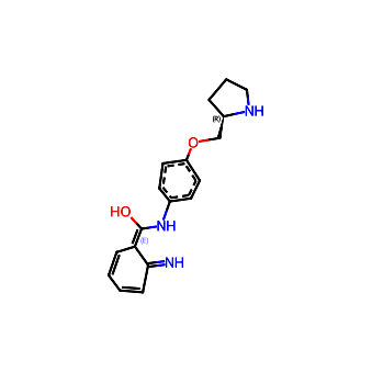 N=C1C=CC=C/C1=C(\O)Nc1ccc(OC[C@H]2CCCN2)cc1